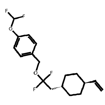 C=C[C@H]1CC[C@H](CC(F)(F)OCc2ccc(OC(F)F)cc2)CC1